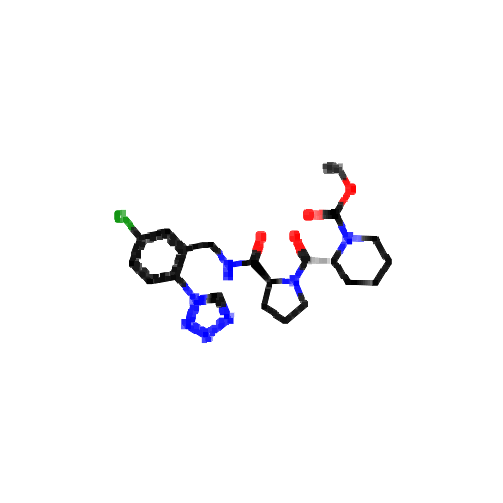 CC(C)(C)OC(=O)N1CCCC[C@@H]1C(=O)N1CCC[C@H]1C(=O)NCc1cc(Cl)ccc1-n1cnnn1